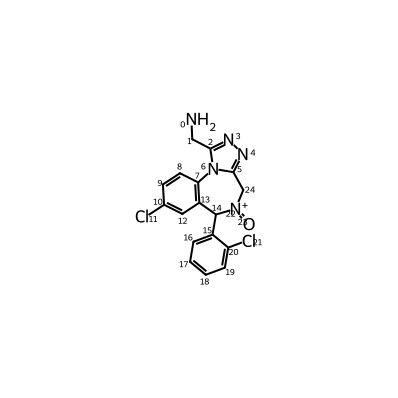 NCc1nnc2n1-c1ccc(Cl)cc1C(c1ccccc1Cl)[N+](=O)C2